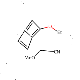 CCOc1cc2ccc1-2.COCC#N